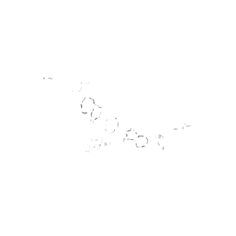 CCCCCCCCCCCCNC(=N)c1ccc2[nH]c(-c3ccc(-c4nc5cc(C(=N)NCCCCCCCCCCCC)ccc5[nH]4)cc3)nc2c1.Cl.Cl.Cl.Cl